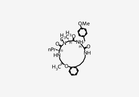 CCC[C@@H]1NC[C@@H](C)Oc2ccccc2CCCNC(=O)[C@@H](Cc2ccc(OC)cc2)NC(=O)[C@@H](C)N(C)C1=O